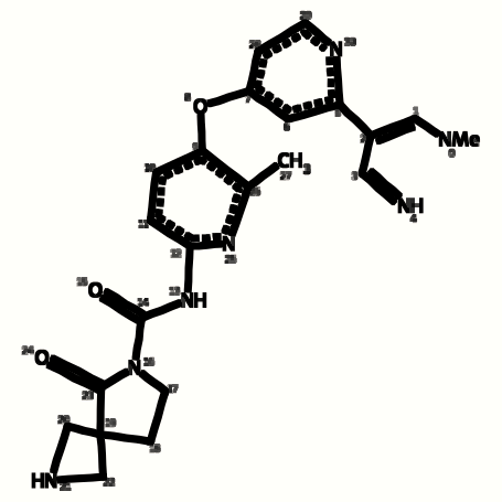 CN/C=C(\C=N)c1cc(Oc2ccc(NC(=O)N3CCC4(CNC4)C3=O)nc2C)ccn1